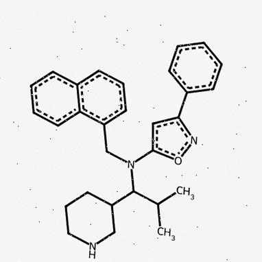 CC(C)C(C1CCCNC1)N(Cc1cccc2ccccc12)c1cc(-c2ccccc2)no1